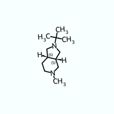 CN1CC[C@@H]2CN(C(C)(C)C)C[C@@H]2C1